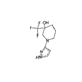 OC1(C(F)(F)F)CCCN(c2cc[nH]n2)C1